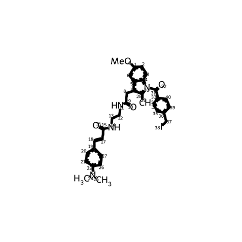 COc1ccc2c(c1)c(CC(=O)NCCNC(=O)/C=C/c1ccc(N(C)C)cc1)c(C)n2C(=O)c1ccc(CI)cc1